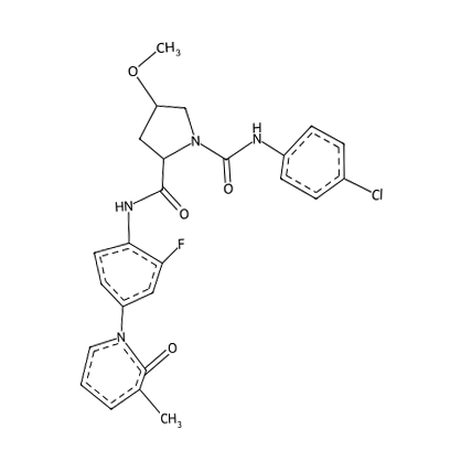 COC1CC(C(=O)Nc2ccc(-n3cccc(C)c3=O)cc2F)N(C(=O)Nc2ccc(Cl)cc2)C1